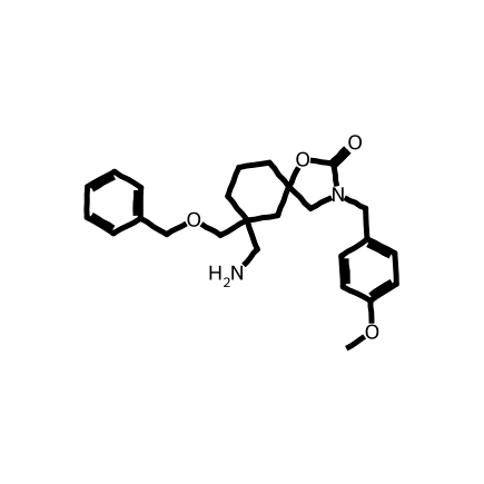 COc1ccc(CN2CC3(CCCC(CN)(COCc4ccccc4)C3)OC2=O)cc1